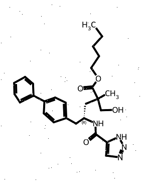 CCCCCOC(=O)C(C)(CO)C[C@@H](Cc1ccc(-c2ccccc2)cc1)NC(=O)c1cnn[nH]1